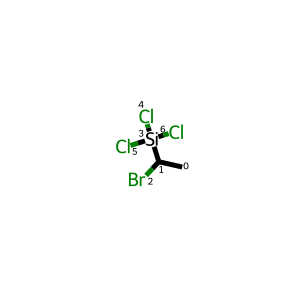 CC(Br)[Si](Cl)(Cl)Cl